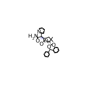 CC1(C)CC2/C(=C(/C(N)=O)c3ccccn3)C(=O)N2[C@H]1C(=O)OC(c1ccccc1)c1ccccc1